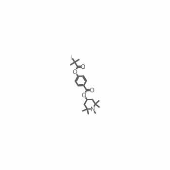 CN1C(C)(C)CC(OC(=O)c2ccc(OC(=O)C(C)(C)I)cc2)CC1(C)C